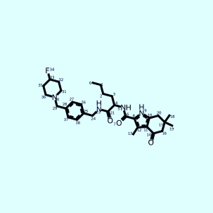 CCCCC(NC(=O)c1[nH]c2c(c1C)C(=O)CC(C)(C)C2)C(=O)NCc1ccc(CN2CCC(F)CC2)cc1